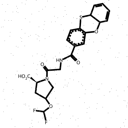 O=C(NCC(=O)N1CC(OC(F)F)C[C@H]1C(=O)O)c1ccc2c(c1)OC1C=CC=CC1S2